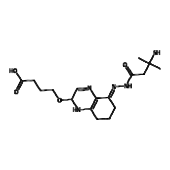 CC(C)(S)CC(=O)NN=C1CCCC2=C1N=CC(OCCCC(=O)O)N2